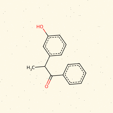 CC(C(=O)c1ccccc1)c1cccc(O)c1